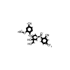 CCCCOc1cc(C#N)ccc1O[C@H]1CN([S+]([O-])c2ccc(C(F)(F)F)cc2C#N)CC1(O)CO